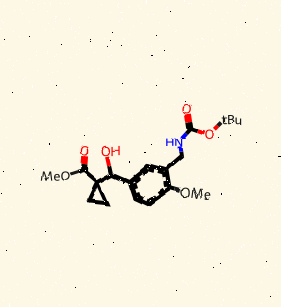 COC(=O)C1(C(O)c2ccc(OC)c(CNC(=O)OC(C)(C)C)c2)CC1